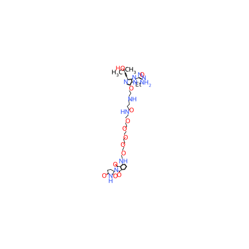 CCn1c(-c2nonc2N)nc2c(C#CC(C)(C)O)ncc(OCCCNCCCC(=O)NCCOCCOCCOCCOCCOCCNc3cccc4c3C(=O)N(C3CCC(=O)NC3=O)C4=O)c21